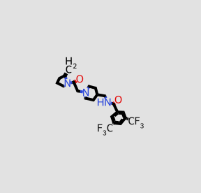 C=C1CCCN1C(=O)CN1CCC(CNC(=O)c2cc(C(F)(F)F)cc(C(F)(F)F)c2)CC1